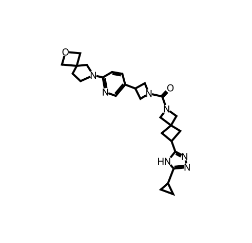 O=C(N1CC(c2ccc(N3CCC4(COC4)C3)nc2)C1)N1CC2(CC(c3nnc(C4CC4)[nH]3)C2)C1